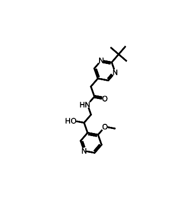 COc1ccncc1C(O)CNC(=O)Cc1cnc(C(C)(C)C)nc1